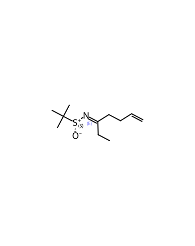 C=CCC/C(CC)=N/[S@+]([O-])C(C)(C)C